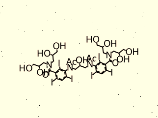 CC(=O)N(CC(O)CN(C(C)=O)c1c(I)cc(I)c(C(=O)N(CC(O)CO)CC(O)CO)c1I)c1c(I)cc(I)c(C(=O)N(CC(O)CO)CC(O)CO)c1I